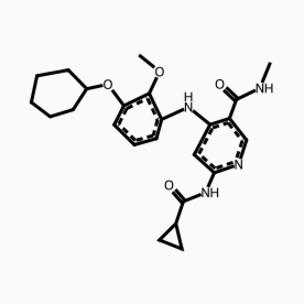 CNC(=O)c1cnc(NC(=O)C2CC2)cc1Nc1cccc(OC2CCCCC2)c1OC